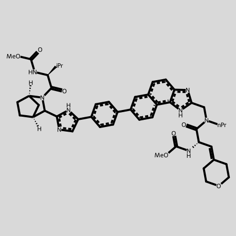 CCCN(Cc1nc2ccc3cc(-c4ccc(-c5cnc(C6[C@H]7CC[C@H](C7)N6C(=O)[C@@H](NC(=O)OC)C(C)C)[nH]5)cc4)ccc3c2[nH]1)C(=O)[C@H](C=C1CCOCC1)NC(=O)OC